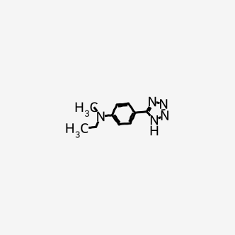 CCN(C)c1ccc(-c2nnn[nH]2)cc1